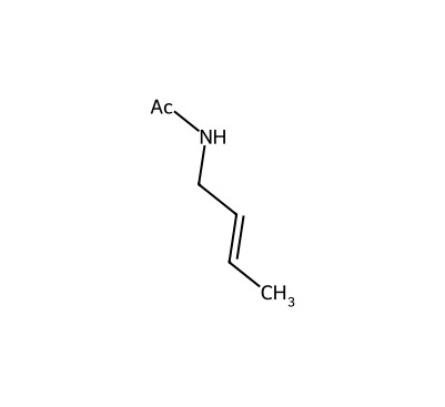 C/C=C/CNC(C)=O